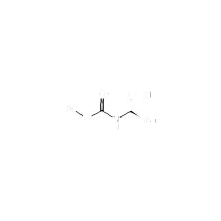 CC[C@H](C)[C@H](NC(=O)OC(C)C)C(=O)O